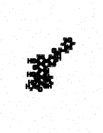 CN(C)[C@@H]1C(O)=C(C(N)=O)C2(O)O[C@@]23C(O)=C2C(=O)c4c(O)ccc(-c5cccc(C(=O)NCCN6CCOCC6)c5)c4C[C@H]2C[C@@H]13